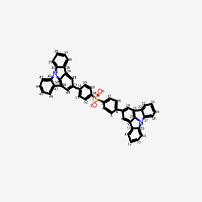 O=S(=O)(c1ccc(-c2cc3c4ccccc4n4c5ccccc5c(c2)c34)cc1)c1ccc(-c2cc3c4ccccc4n4c5ccccc5c(c2)c34)cc1